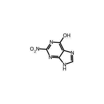 O=[N+]([O-])c1nc(O)c2nc[nH]c2n1